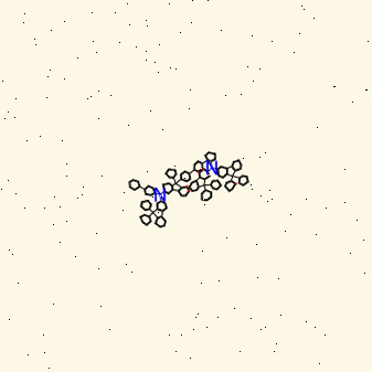 c1ccc(-c2ccc(N(c3ccc4c(c3)-c3ccccc3C4(c3ccccc3)c3ccc(-c4ccc(-c5ccccc5N(c5ccc6c(c5)-c5ccccc5C6(c5ccccc5)c5ccccc5)c5ccc6c(c5)C(c5ccccc5)(c5ccccc5)c5ccccc5-6)cc4)cc3)c3ccc4c(c3)C(c3ccccc3)(c3ccccc3)c3ccccc3-4)cc2)cc1